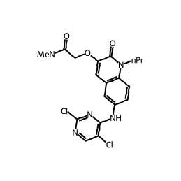 CCCn1c(=O)c(OCC(=O)NC)cc2cc(Nc3nc(Cl)ncc3Cl)ccc21